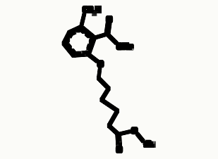 COC(=O)c1c(OCCCCCC(=O)OC(C)(C)C)cccc1C(=O)O